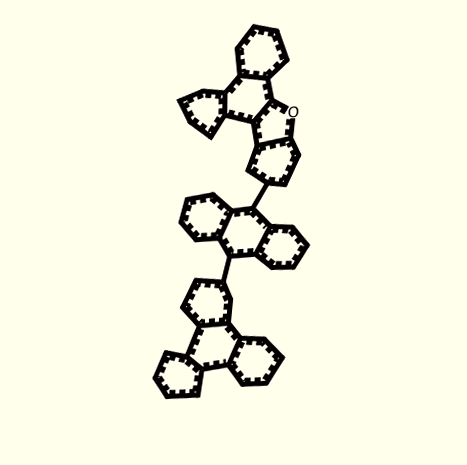 c1ccc2c(-c3ccc4oc5c6ccccc6c6ccccc6c5c4c3)c3ccccc3c(-c3ccc4c5ccccc5c5ccccc5c4c3)c2c1